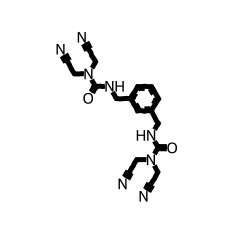 N#CCN(CC#N)C(=O)NCc1cccc(CNC(=O)N(CC#N)CC#N)c1